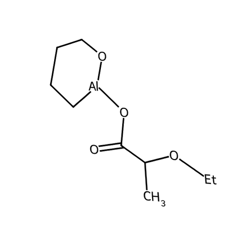 CCOC(C)C(=O)[O][Al]1[CH2]CCC[O]1